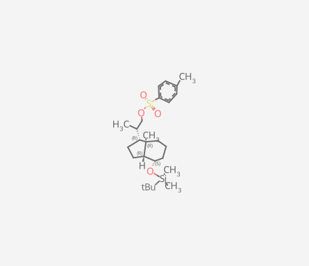 Cc1ccc(S(=O)(=O)OCC(C)[C@H]2CC[C@H]3[C@@H](O[Si](C)(C)C(C)(C)C)CCC[C@]23C)cc1